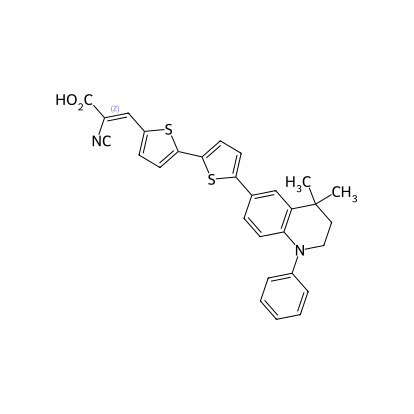 [C-]#[N+]/C(=C\c1ccc(-c2ccc(-c3ccc4c(c3)C(C)(C)CCN4c3ccccc3)s2)s1)C(=O)O